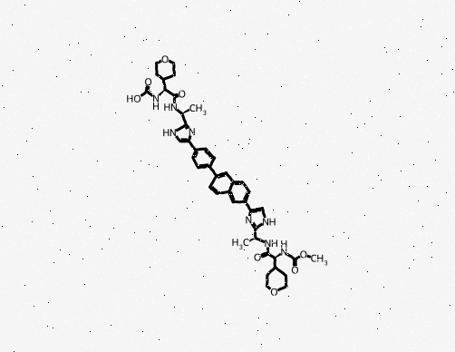 COC(=O)N[C@H](C(=O)N[C@@H](C)c1nc(-c2ccc3cc(-c4ccc(-c5c[nH]c([C@H](C)NC(=O)[C@@H](NC(=O)O)C6CCOCC6)n5)cc4)ccc3c2)c[nH]1)C1CCOCC1